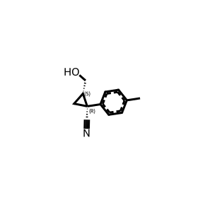 Cc1ccc([C@@]2(C#N)C[C@@H]2CO)cc1